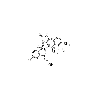 Cc1ccc(F)c([C@@H](C)[C@@H](c2n[nH]c(=O)o2)N2CN(CCO)c3nc(Cl)ccc3S2(=O)=O)c1C